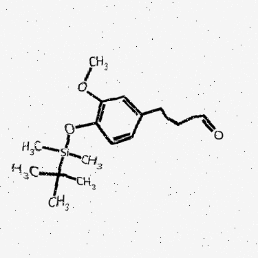 COc1cc(CCC=O)ccc1O[Si](C)(C)C(C)(C)C